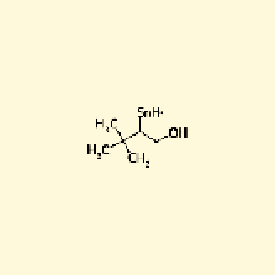 CC(C)(C)[CH]([SnH])CO